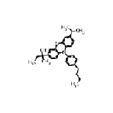 CCCCc1ccc(N2c3ccc(C(C)C)cc3Oc3cc(C(C)(C)CC)ccc32)cc1